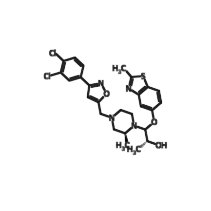 Cc1nc2cc(OC([C@@H](C)O)N3CCN(Cc4cc(-c5ccc(Cl)c(Cl)c5)no4)C[C@@H]3C)ccc2s1